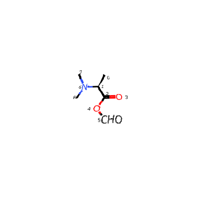 C[C@@H](C(=O)OC=O)N(C)C